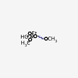 CCc1cccc(CO)c1N(c1ccc(C)cc1)c1ccc(/C=C/C=C/c2ccc(C)cc2)cc1